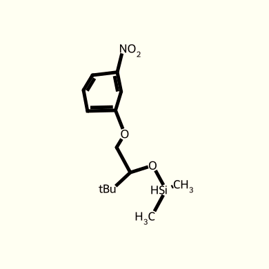 C[SiH](C)OC(COc1cccc([N+](=O)[O-])c1)C(C)(C)C